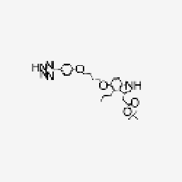 CCCc1c(OCCCCOc2ccc(-c3nn[nH]n3)cc2)ccc2[nH]cc(CC(=O)OC(C)(C)C)c12